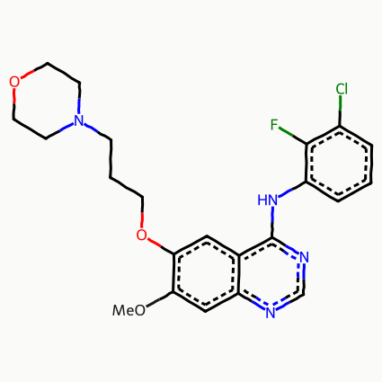 COc1cc2ncnc(Nc3cccc(Cl)c3F)c2cc1OCCCN1CCOCC1